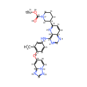 Cc1cc(Nc2ncnc3ccc([C@@H]4CCCN(C(=O)OC(C)(C)C)C4)nc23)ccc1Oc1ccn2ncnc2c1